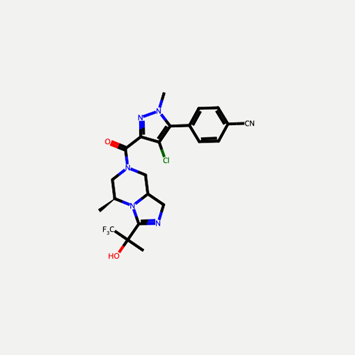 C[C@H]1CN(C(=O)c2nn(C)c(-c3ccc(C#N)cc3)c2Cl)CC2CN=C(C(C)(O)C(F)(F)F)N21